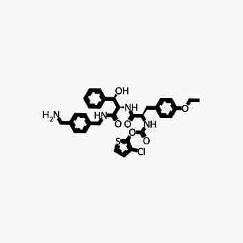 CCOc1ccc(C[C@@H](NC(=O)Oc2sccc2Cl)C(=O)N[C@H](C(=O)NCc2ccc(CN)cc2)[C@H](O)c2ccccc2)cc1